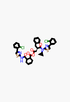 O=C(C[C@@H](Cc1ccccc1)C(=O)N(c1nc(-c2ccccc2Cl)cs1)C1CC1)OC(=O)C1CC=CCC1C(=O)Nc1nc(-c2ccccc2Cl)cs1